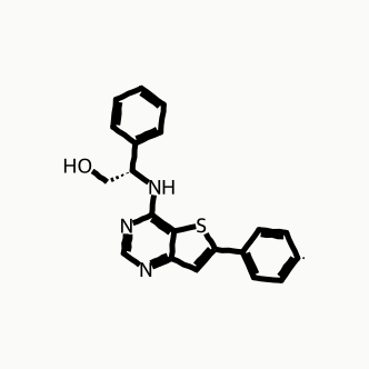 OC[C@@H](Nc1ncnc2cc(-c3cc[c]cc3)sc12)c1ccccc1